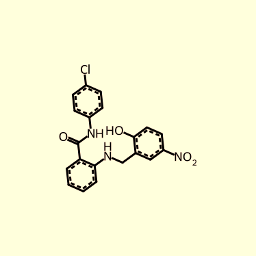 O=C(Nc1ccc(Cl)cc1)c1ccccc1NCc1cc([N+](=O)[O-])ccc1O